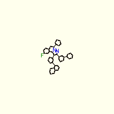 Fc1ccc2cc(-c3ccccc3)n3nc(-c4cccc(-c5ccccc5)c4)c(-c4cccc(-c5cccc6ccccc56)c4)c3c2c1